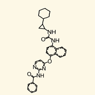 O=C(Nc1ccc(Oc2ccnc(NC(=O)c3ccccc3)n2)c2ccccc12)NC1CC1C1CCCCC1